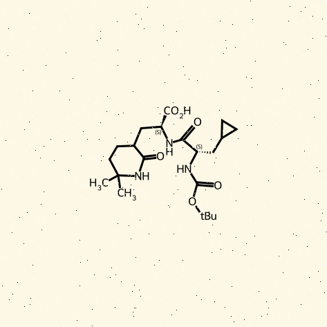 CC1(C)CCC(C[C@H](NC(=O)[C@H](CC2CC2)NC(=O)OC(C)(C)C)C(=O)O)C(=O)N1